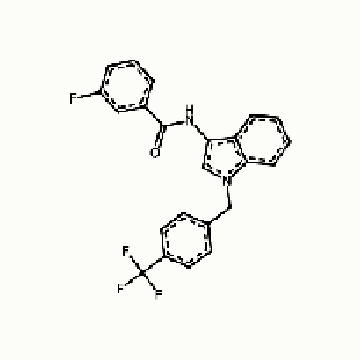 O=C(Nc1cn(Cc2ccc(C(F)(F)F)cc2)c2ccccc12)c1cccc(F)c1